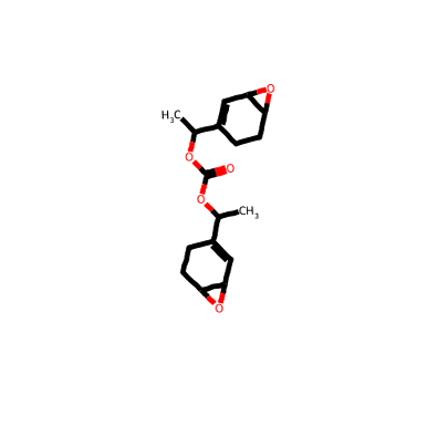 CC(OC(=O)OC(C)C1=CC2OC2CC1)C1=CC2OC2CC1